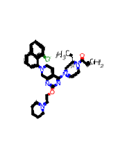 C=CC(=O)N1CCN(c2nc(OCCN3CCCCC3)nc3c2CCN(c2cccc4cccc(Cl)c24)C3)C[C@@H]1CC